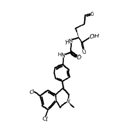 CN1Cc2c(Cl)cc(Cl)cc2C(c2ccc(NC(=O)N[C@@H](CCC=O)C(=O)O)cc2)C1